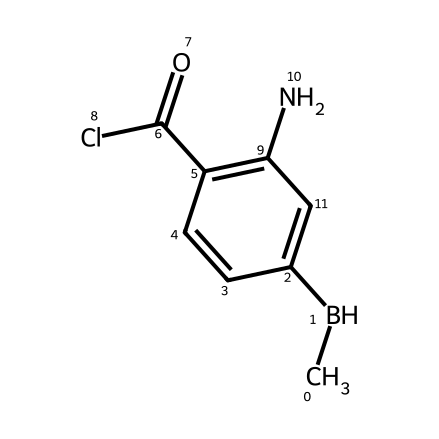 CBc1ccc(C(=O)Cl)c(N)c1